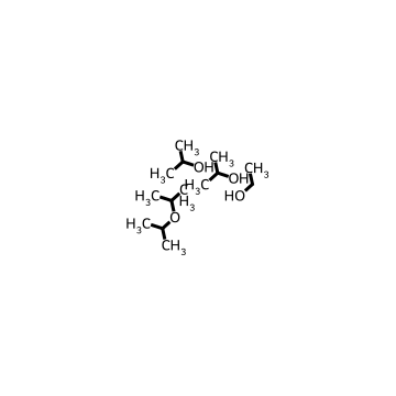 CC(C)O.CC(C)O.CC(C)OC(C)C.CCO